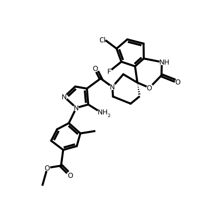 COC(=O)c1ccc(-n2ncc(C(=O)N3CCC[C@@]4(C3)OC(=O)Nc3ccc(Cl)c(F)c34)c2N)c(C)c1